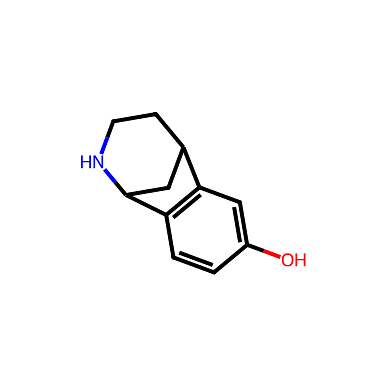 Oc1ccc2c(c1)C1CCNC2C1